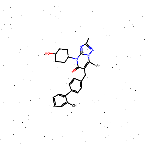 CCCc1c(Cc2ccc(-c3ccccc3C#N)cc2)c(=O)n(C2CCC(O)CC2)c2nc(C)nn12